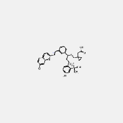 CC(C)(O)c1ccccc1CCC(SCC1(CC(=O)O)CC1)c1cccc(/C=C/c2ccc3ccc(Cl)cc3n2)c1.[LiH]